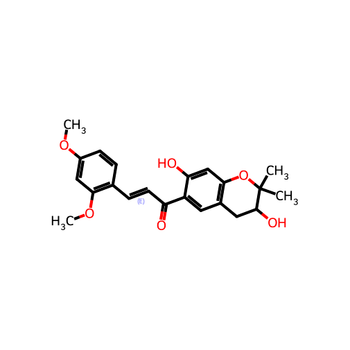 COc1ccc(/C=C/C(=O)c2cc3c(cc2O)OC(C)(C)C(O)C3)c(OC)c1